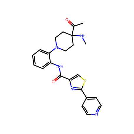 CNC1(C(C)=O)CCN(c2ccccc2NC(=O)c2csc(-c3ccncc3)n2)CC1